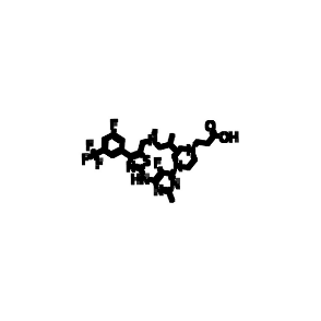 Cc1nc(Nc2nc(-c3cc(F)cc(C(F)(F)F)c3)c(CN(C)CC(C)C)s2)c(F)c(N2CCN(CCC(=O)O)CC2)n1